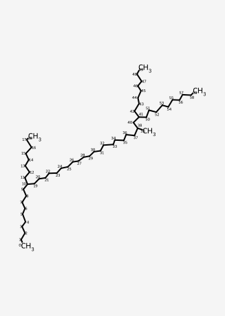 CCCCCCCCCCC(CCCCCCCC)CCCCCCCCCCCCCCCCCCCC(C)CC(CCCCCCCC)CCCCCCCCCC